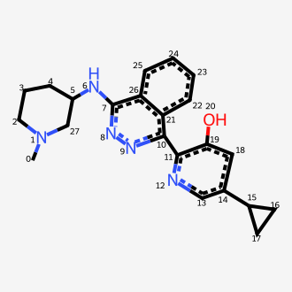 CN1CCCC(Nc2nnc(-c3ncc(C4CC4)cc3O)c3ccccc23)C1